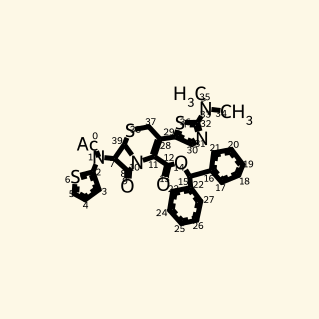 CC(=O)N(c1cccs1)C1C(=O)N2C(C(=O)OC(c3ccccc3)c3ccccc3)=C(c3cnc(N(C)C)s3)CSC12